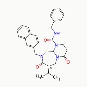 CC(C)[C@@H]1CN2C(=O)CCN(C(=O)NCc3ccccc3)C2CN(Cc2ccc3ccccc3c2)C1=O